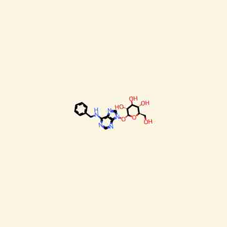 OC[C@H]1O[C@@H](On2cnc3c(NCc4ccccc4)ncnc32)[C@H](O)[C@@H](O)[C@@H]1O